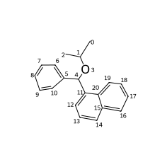 CC(C)OC(c1ccccc1)c1cccc2ccccc12